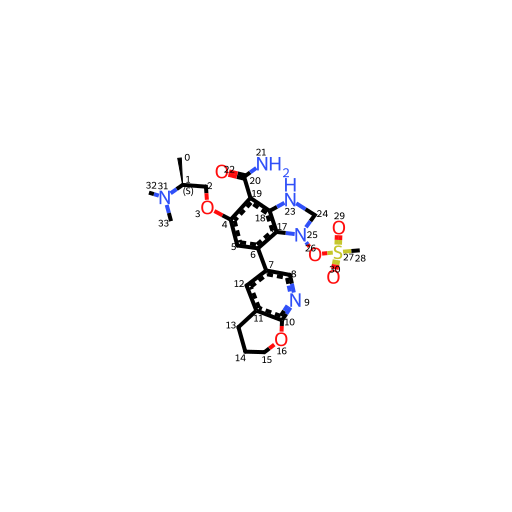 C[C@@H](COc1cc(-c2cnc3c(c2)CCCO3)c2c(c1C(N)=O)NCN2OS(C)(=O)=O)N(C)C